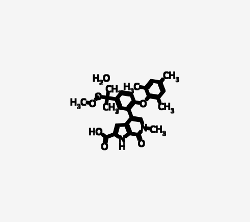 COOC(C)(C)c1ccc(Oc2c(C)cc(C)cc2C)c(-c2cn(C)c(=O)c3[nH]c(C(=O)O)cc23)c1.O